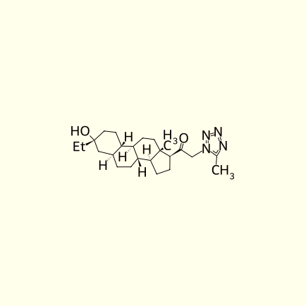 CC[C@@]1(O)CC[C@H]2[C@@H](CC[C@@H]3[C@@H]2CC[C@]2(C)[C@@H](C(=O)Cn4nnnc4C)CC[C@@H]32)C1